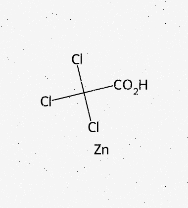 O=C(O)C(Cl)(Cl)Cl.[Zn]